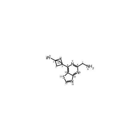 CC(C)C12CC(c3nc(CN)nc4ncsc34)(C1)C2